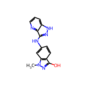 Cn1nc(O)c2ccc(Nc3n[nH]c4cccnc34)cc21